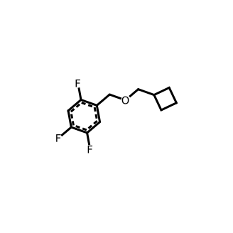 Fc1cc(F)c(COCC2CCC2)cc1F